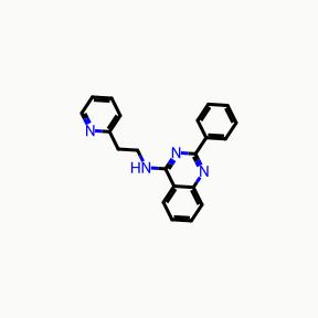 c1ccc(-c2nc(NCCc3ccccn3)c3ccccc3n2)cc1